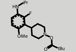 COc1ccc(NC(C)C)c(F)c1C1CCN(OC(=O)C(C)(C)C)CC1